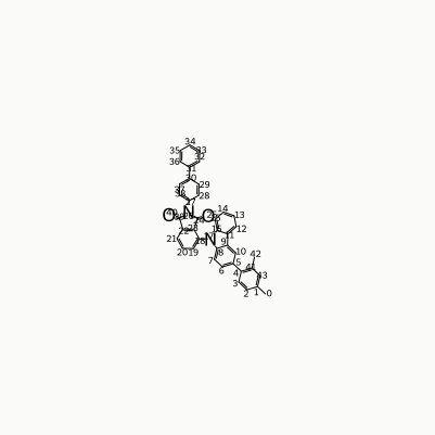 Cc1ccc(-c2ccc3c(c2)c2ccccc2n3-c2cccc3c2C(=O)N(c2ccc(-c4ccccc4)cc2)C3=O)c(C)c1